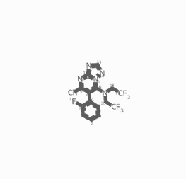 Fc1ccccc1-c1c(Cl)nc2ncnn2c1N(CC(F)(F)F)CC(F)(F)F